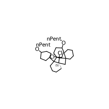 CCCCCOC1CCC(C2(C3CCC(OCCCCC)CC3)CCCC[C@]23CC2(CCCCC2)C3(Cl)Cl)CC1